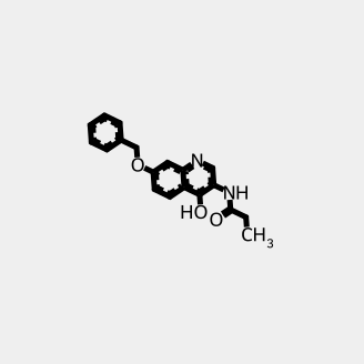 CCC(=O)Nc1cnc2cc(OCc3ccccc3)ccc2c1O